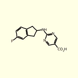 O=C(O)c1cnc(NC2Cc3ccc(F)cc3C2)nc1